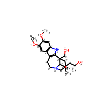 COc1cc2[nH]c3c(c2cc1OC)CCN1C[C@@H](C)CC3(CO)C1C(C)CCO